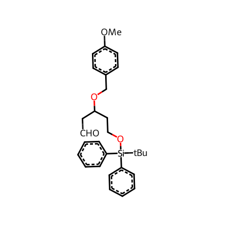 COc1ccc(COC(CC=O)CCO[Si](c2ccccc2)(c2ccccc2)C(C)(C)C)cc1